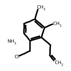 C=CCc1c(CCl)ccc(C)c1C.N